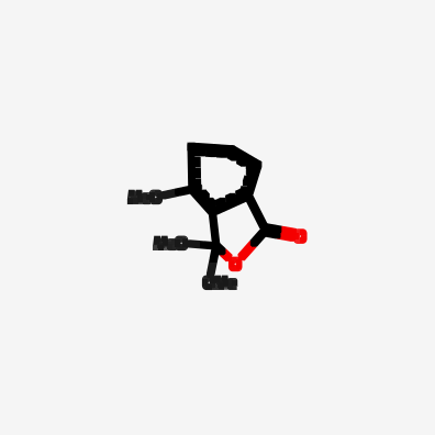 COc1cccc2c1C(OC)(OC)OC2=O